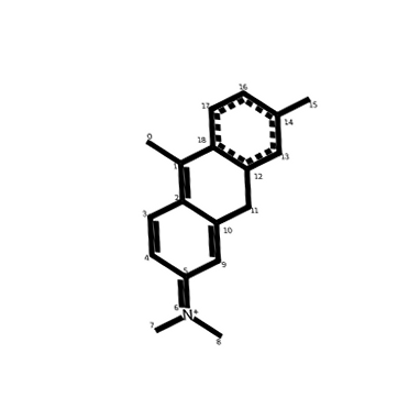 CC1=C2C=CC(=[N+](C)C)C=C2Cc2cc(C)ccc21